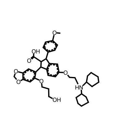 C1CCC(NC2CCCCC2)CC1.CCCOc1ccc2c(c1)C(c1ccc(OC)cc1)C(C(=O)O)C2c1cc2c(cc1OCCCO)OCO2